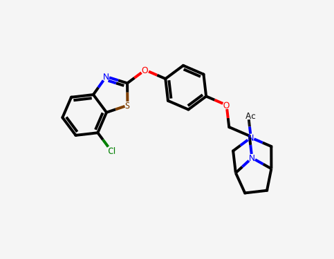 CC(=O)N1CC2CCC(C1)N2CCOc1ccc(Oc2nc3cccc(Cl)c3s2)cc1